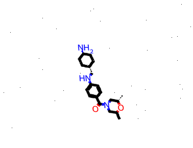 CC1CN(C(=O)c2ccc(NC[C@H]3CC[C@H](N)CC3)cc2)C[C@H](C)O1